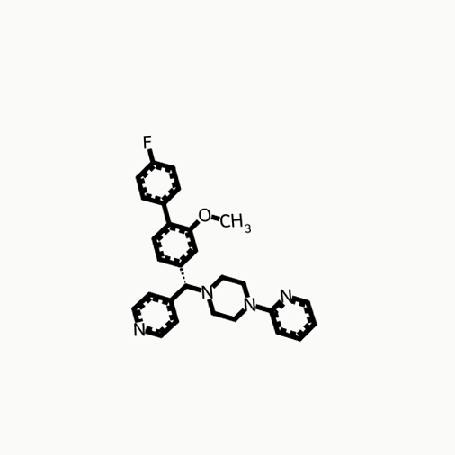 COc1cc([C@@H](c2ccncc2)N2CCN(c3ccccn3)CC2)ccc1-c1ccc(F)cc1